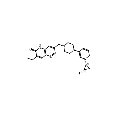 CCc1cc2ncc(CN3CCN(C4=CN([C@@H]5C[C@@H]5F)CC=C4)CC3)cc2[nH]c1=O